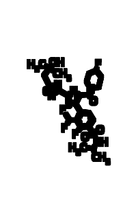 CC(C)NS(=O)(=O)c1ccc(-c2sc(-c3noc(CC(C)(C)O)n3)nc2C(=O)N2CCC(F)CC2)c(C(F)F)c1F